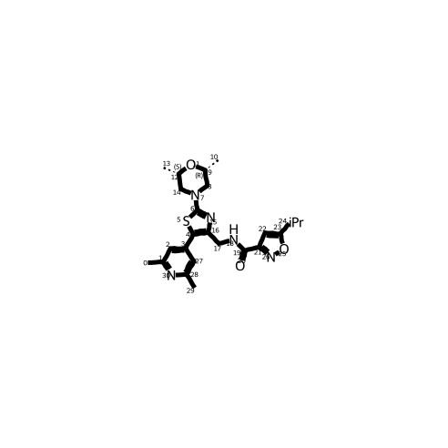 Cc1cc(-c2sc(N3C[C@@H](C)O[C@@H](C)C3)nc2CNC(=O)c2cc(C(C)C)on2)cc(C)n1